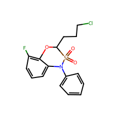 O=S1(=O)C(CCCCl)Oc2c(F)cccc2N1c1ccccc1